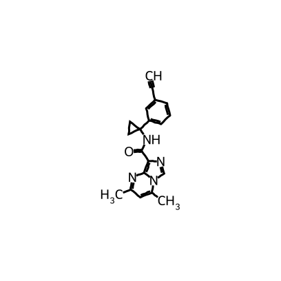 C#Cc1cccc(C2(NC(=O)c3ncn4c(C)cc(C)nc34)CC2)c1